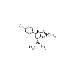 CCN(CC)c1cc(-c2ccc(Cl)cc2)nc2nn(C)cc12